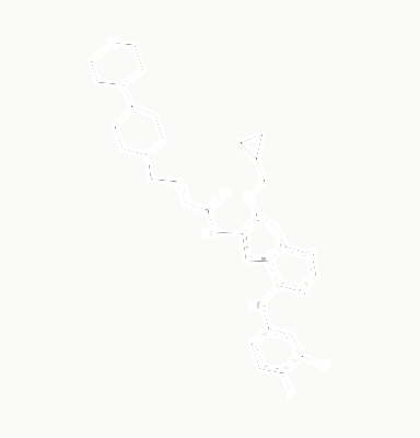 O=C(C=CCN1CCC(N2CCOCC2)CC1)Nc1cc2c(Nc3ccc(F)c(Cl)c3)ncnc2cc1OCC1CC1